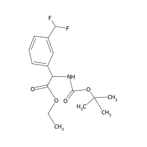 CCOC(=O)C(NC(=O)OC(C)(C)C)c1cccc(C(F)F)c1